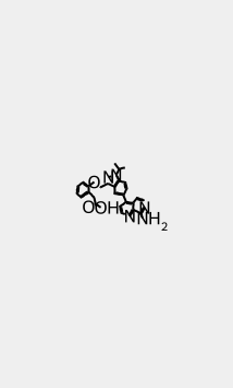 CC(C)n1nc(COc2ccccc2CC(=O)O)c2cc(-c3ccnc4c(N)nccc34)ccc21